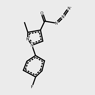 Cc1nn(-c2ccc(F)cc2)cc1C(=O)N=[N+]=[N-]